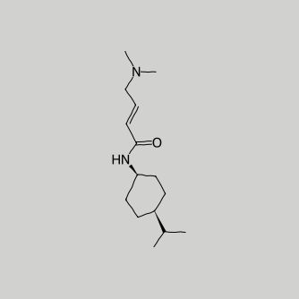 CC(C)[C@H]1CC[C@@H](NC(=O)/C=C/CN(C)C)CC1